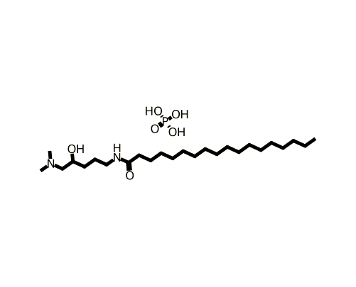 CCCCCCCCCCCCCCCCCC(=O)NCCCC(O)CN(C)C.O=P(O)(O)O